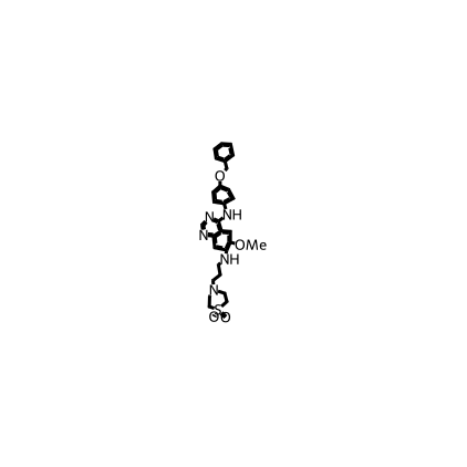 COc1cc2c(Nc3ccc(OCc4ccccc4)cc3)ncnc2cc1NCCCN1CCS(=O)(=O)CC1